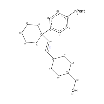 CCCCCc1ccc(C2(/C=C/C3CCC(CO)CC3)CCCCC2)cc1